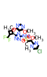 COc1ncnc(OC)c1-n1c(NS(=O)(=O)[C@@H](C)[C@H](OC)c2ncc(Cl)cn2)nnc1[C@@H]1CCC1C(F)F